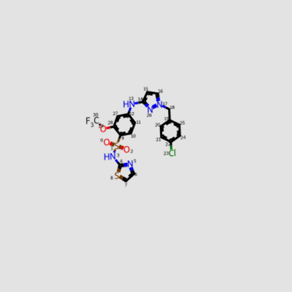 O=S(=O)(Nc1nccs1)c1ccc(Nc2ccn(Cc3ccc(Cl)cc3)n2)cc1OC(F)(F)F